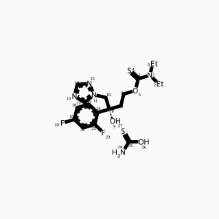 CCN(CC)C(=S)OCC[C@](O)(Cn1cncn1)c1ccc(F)cc1F.NC(O)=S